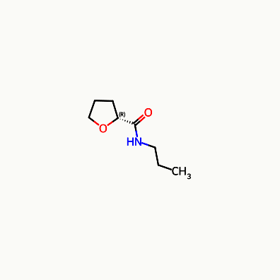 CCCNC(=O)[C@H]1CCCO1